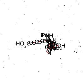 CCCCC(NC(=O)C(Cc1ccc(O)cc1)NC(=O)SCC(=O)NC(CCCCNC(C)C)C(=O)NCCOCCOCCOCCOCCOCCOCCC(=O)O)C(=O)NCC(=O)NC(Cc1ccc2ccccc2c1)C(=O)NCC(N)=O